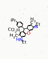 CC/N=C1/C=C2Oc3cc(NCC)c(C)cc3C(c3ccc(C(C)C)cc3C(=O)O)C2C=C1C